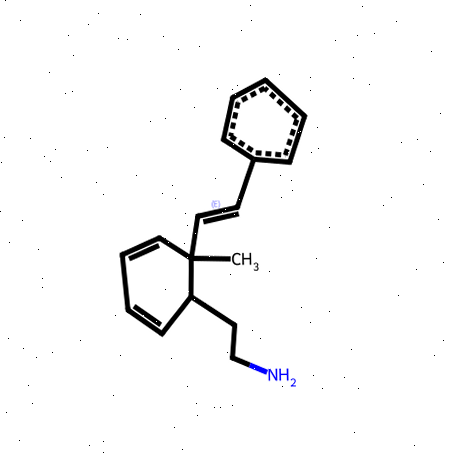 CC1(/C=C/c2ccccc2)C=CC=CC1CCN